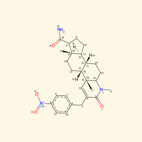 CN1C(=O)C(Cc2ccc([N+](=O)[O-])cc2)=C[C@@]2(C)C1CC[C@@H]1[C@H]2CC[C@]2(C)C(C(N)=O)CC[C@@H]12